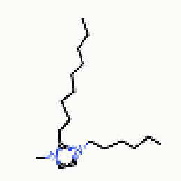 CCCCCCCCCc1n(C)cc[n+]1CCCCCC